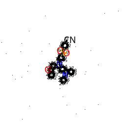 N#Cc1ccc(S(=O)(=O)c2ccc(-n3c4cc5c6ccccc6n(-c6ccccc6)c5cc4c4c5c(ccc43)oc3ccccc35)cc2)cc1